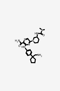 CN(C)C(=O)NC1CCCN(c2cnc(C(N)=O)c(Nc3ccc(C4(CN)CCCC4)cc3)n2)C1